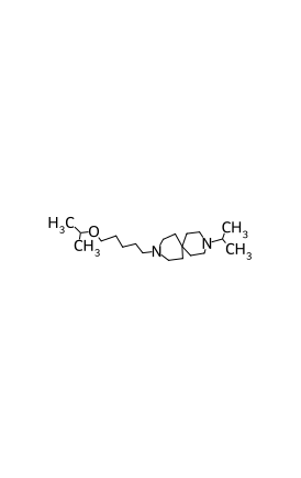 CC(C)OCCCCCN1CCC2(CC1)CCN(C(C)C)CC2